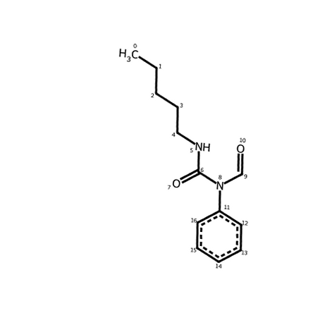 CCCCCNC(=O)N(C=O)c1ccccc1